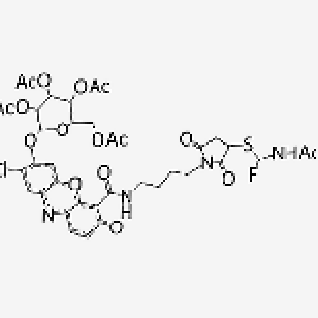 CC(=O)NC(F)SC1CC(=O)N(CCCCNC(=O)c2c3oc4cc(OC5OC(COC(C)=O)C(OC(C)=O)C(OC(C)=O)C5OC(C)=O)c(Cl)cc4nc-3ccc2=O)C1=O